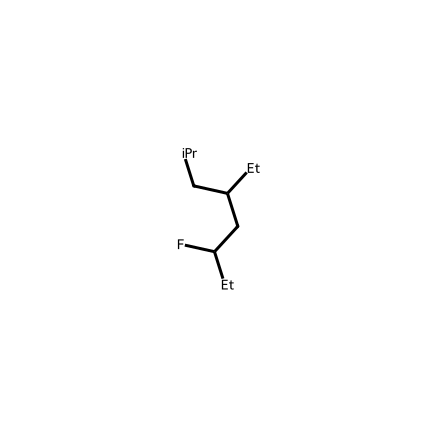 CCC(F)CC(CC)CC(C)C